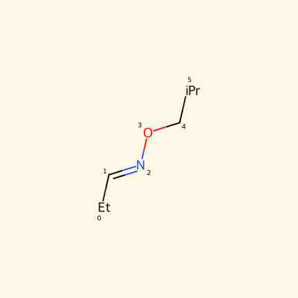 [CH2]CC=NOCC(C)C